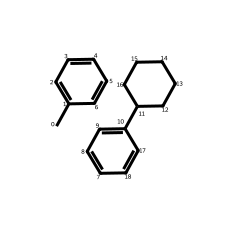 Cc1ccccc1.c1ccc(C2CCCCC2)cc1